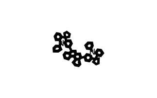 c1ccc(N2c3ccccc3C3(CCCC3)c3ccc(-c4cc5cc(-c6ccc7c(c6)N(c6ccccc6)c6ccccc6C76CCCC6)c6ccccc6c5c5ccccc45)cc32)cc1